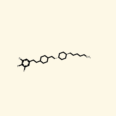 CCCCCC[C@H]1CC[C@H](CCC2CCC(CCc3cc(F)c(F)c(F)c3)CC2)CC1